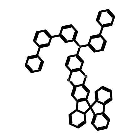 C1=CC2c3cc4c(cc3C3(c5ccccc5-c5ccccc53)C2C=C1)Oc1cc(N(c2cccc(-c3ccccc3)c2)c2cccc(-c3cccc(-c5ccccc5)c3)c2)ccc1O4